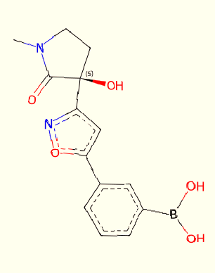 CN1CC[C@](O)(c2cc(-c3cccc(B(O)O)c3)on2)C1=O